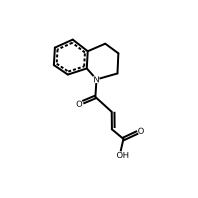 O=C(O)C=CC(=O)N1CCCc2ccccc21